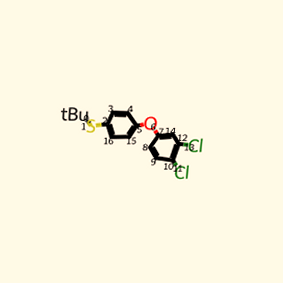 CC(C)(C)Sc1ccc(Oc2ccc(Cl)c(Cl)c2)cc1